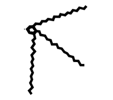 CCCCCCCCCCCCCCCCCc1c[c]cc(CCCCCCCCCCCCCCCCC)c1CCCCCCCCCCCCCCCCC